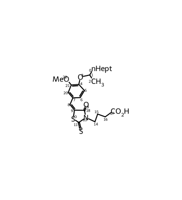 CCCCCCCC(C)Oc1ccc(/C=C2/SC(=S)N(CCCC(=O)O)C2=O)cc1OC